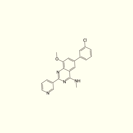 CNc1nc(-c2cccnc2)nc2c(OC)cc(-c3cccc(Cl)c3)cc12